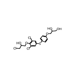 OCC(O)COc1ccc(Sc2cc(Cl)c(OCC(O)CCl)c(Cl)c2)cc1